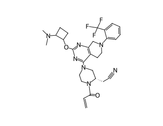 C=CC(=O)N1CCN(c2nc(OC3CCC3N(C)C)nc3c2CCN(c2ccccc2C(F)(F)F)C3)C[C@@H]1CC#N